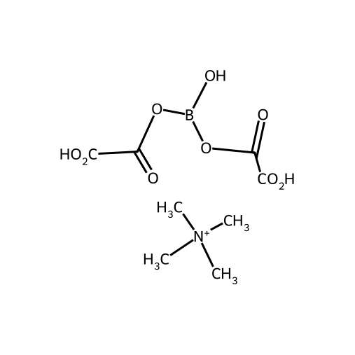 C[N+](C)(C)C.O=C(O)C(=O)OB(O)OC(=O)C(=O)O